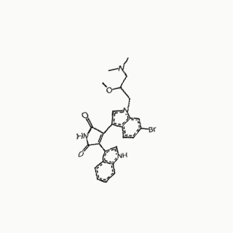 COC(CN(C)C)Cn1cc(C2=C(c3c[nH]c4ccccc34)C(=O)NC2=O)c2ccc(Br)cc21